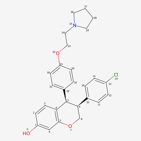 Oc1ccc2c(c1)OC[C@H](c1ccc(Cl)cc1)[C@@H]2c1ccc(OCCN2CCCC2)cc1